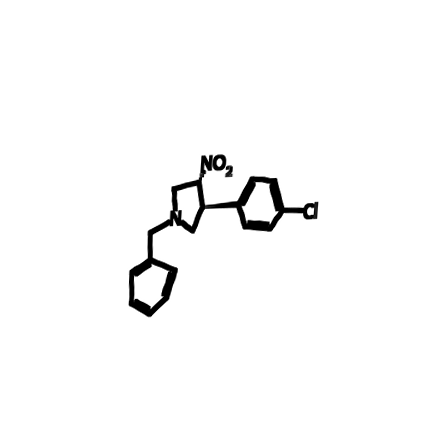 O=[N+]([O-])[C@H]1CN(Cc2ccccc2)C[C@@H]1c1ccc(Cl)cc1